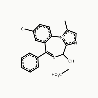 CC(=O)O.Cc1cnc2n1-c1ccc(Cl)cc1C(c1ccccc1)=NC2O